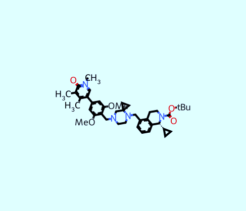 COc1cc(-c2cn(C)c(=O)c(C)c2C)cc(OC)c1CN1CCN(Cc2cccc3c2CCN(C(=O)OC(C)(C)C)[C@@H]3C2CC2)C2(CC2)C1